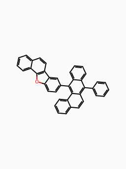 c1ccc(-c2c3ccccc3c(-c3ccc4oc5c6ccccc6ccc5c4c3)c3c2ccc2ccccc23)cc1